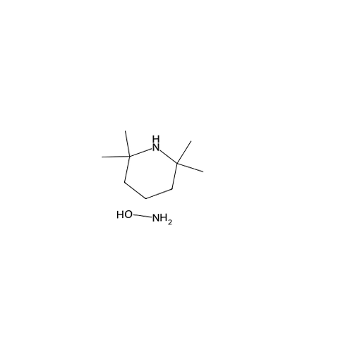 CC1(C)CCCC(C)(C)N1.NO